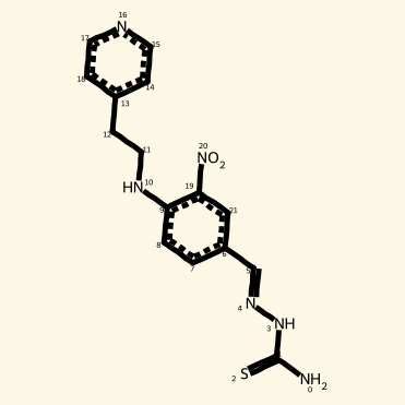 NC(=S)NN=Cc1ccc(NCCc2ccncc2)c([N+](=O)[O-])c1